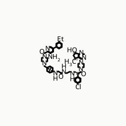 CCc1cccc(-c2cnc(C(=O)N3CCN(CC45CCC(NCC(=O)NCCNC[C@@H](C(=O)N6CCN(c7ncnc8c7[C@H](C)C[C@H]8O)CC6)c6ccc(Cl)cc6)(CC4)CO5)CC3)c(N)c2)c1